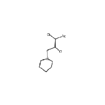 CC(=O)[C](Cl)C(Cl)CN1CCCCC1